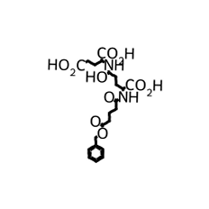 O=C(O)CCC(NC(O)CCC(NC(=O)CCCC(=O)OCc1ccccc1)C(=O)O)C(=O)O